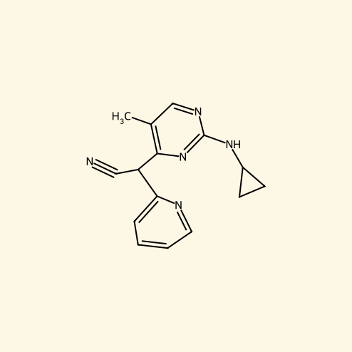 Cc1cnc(NC2CC2)nc1C(C#N)c1ccccn1